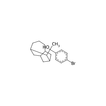 CC(O)(c1ccc(Br)cc1)C1C2CCCC3CC1CC3C2